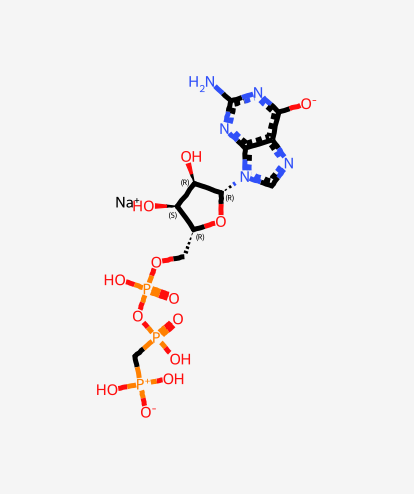 Nc1nc([O-])c2ncn([C@@H]3O[C@H](COP(=O)(O)OP(=O)(O)C[P+]([O-])(O)O)[C@@H](O)[C@H]3O)c2n1.[Na+]